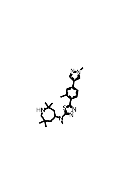 Cc1cc(-c2cnn(C)c2)ccc1-c1nnc(N(C)C2CC(C)(C)CNC(C)(C)C2)s1